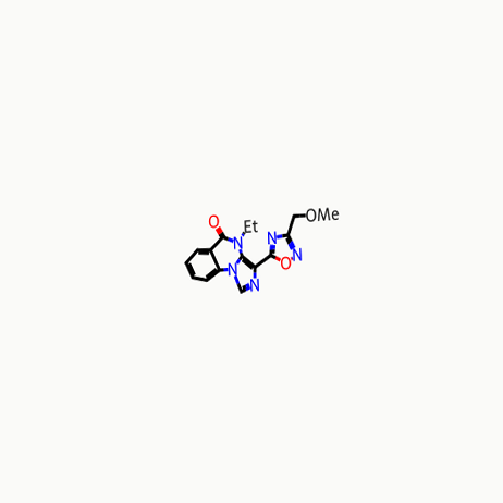 CCn1c(=O)c2ccccc2n2cnc(-c3nc(COC)no3)c12